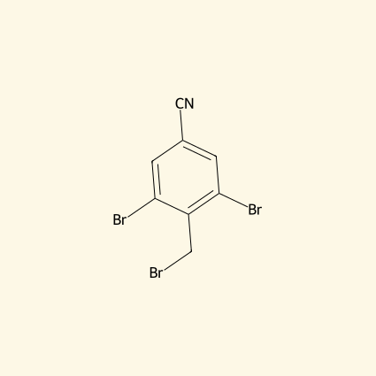 N#Cc1cc(Br)c(CBr)c(Br)c1